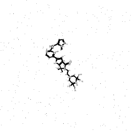 Cn1nccc1Nc1nccc(-c2cc3c(s2)C(C)(C)N(CCN2CC(F)(F)OC(F)(F)C2)C3=O)n1